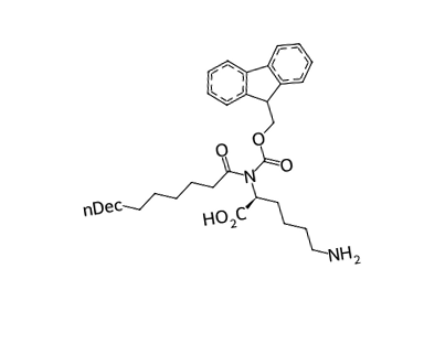 CCCCCCCCCCCCCCCC(=O)N(C(=O)OCC1c2ccccc2-c2ccccc21)[C@@H](CCCCN)C(=O)O